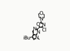 CCC(C)c1cn(C)c2nc(-c3oc(N4CCOCC4)nc3Cl)ncc12